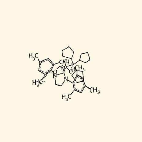 CCO[CH]=[Ru]([Cl])([Cl])(=[C]1N(c2c(C)cc(C)cc2C)CCN1c1c(C)cc(C)cc1C)[PH](C1CCCC1)(C1CCCC1)C1CCCC1